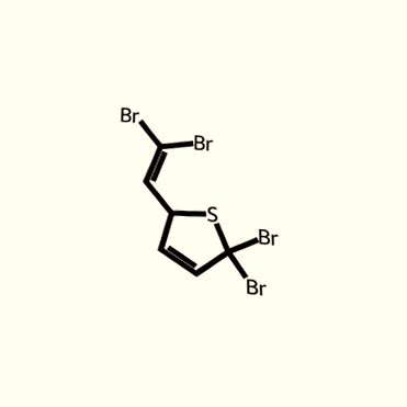 BrC(Br)=CC1C=CC(Br)(Br)S1